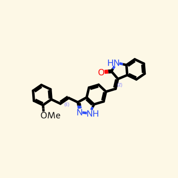 COc1ccccc1/C=C/c1n[nH]c2cc(/C=C3\C(=O)Nc4ccccc43)ccc12